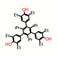 CCc1cc(-c2c(C(C)C)c(-c3cc(CC)c(O)c(CC)c3)c(C(C)C)c(-c3cc(CC)c(O)c(CC)c3)c2C(C)C)cc(CC)c1O